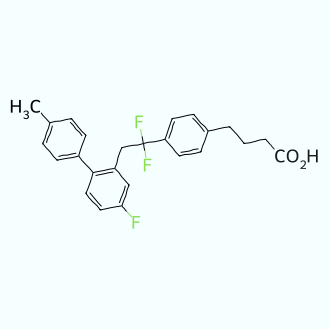 Cc1ccc(-c2ccc(F)cc2CC(F)(F)c2ccc(CCCC(=O)O)cc2)cc1